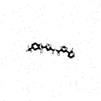 C[C@H](NC(=O)c1cc(-c2cccnc2F)ncn1)c1cc(-c2nc3ccc(C(F)(F)F)cc3[nH]2)no1